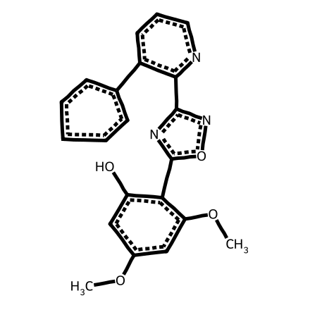 COc1cc(O)c(-c2nc(-c3ncccc3-c3ccccc3)no2)c(OC)c1